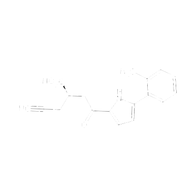 C#CC[C@H](CC(=O)c1ccc(-c2ccccc2C)[nH]1)C(=O)O